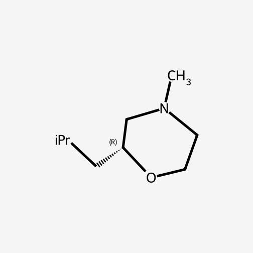 CC(C)C[C@@H]1CN(C)CCO1